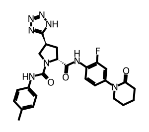 Cc1ccc(NC(=O)N2C[C@@H](c3nnn[nH]3)C[C@@H]2C(=O)Nc2ccc(N3CCCCC3=O)cc2F)cc1